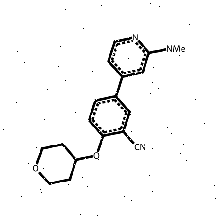 CNc1cc(-c2ccc(OC3CCOCC3)c(C#N)c2)ccn1